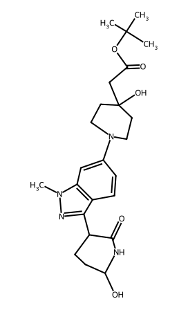 Cn1nc(C2CCC(O)NC2=O)c2ccc(N3CCC(O)(CC(=O)OC(C)(C)C)CC3)cc21